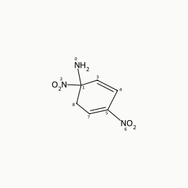 NC1([N+](=O)[O-])C=CC([N+](=O)[O-])=CC1